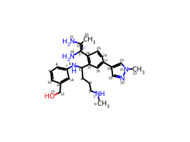 CNCCCC(Nc1cccc(CO)c1)c1cc(-c2cnn(C)c2)ccc1/C(N)=C(\C)N